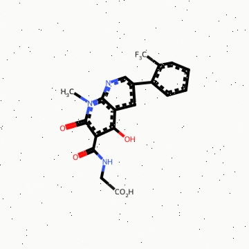 Cn1c(=O)c(C(=O)NCC(=O)O)c(O)c2cc(-c3ccccc3C(F)(F)F)cnc21